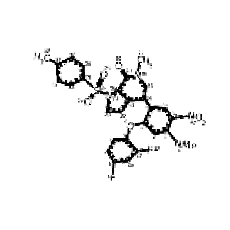 CNc1cc(Oc2ccc(F)cc2F)c(-c2cn(C)c(=O)c3c2ccn3S(=O)(=O)c2ccc(C)cc2)cc1[N+](=O)[O-]